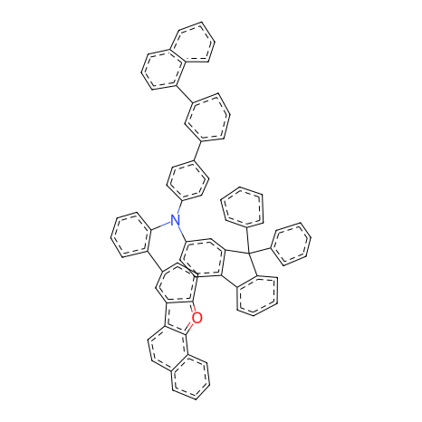 c1ccc(C2(c3ccccc3)c3ccccc3-c3ccc(N(c4ccc(-c5cccc(-c6cccc7ccccc67)c5)cc4)c4ccccc4-c4ccc5oc6c7ccccc7ccc6c5c4)cc32)cc1